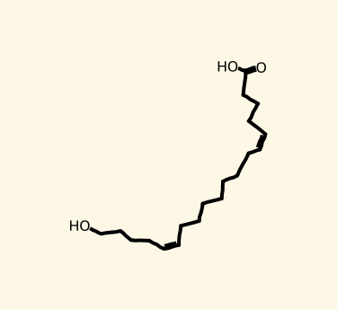 O=C(O)CCC/C=C\CCCCCCC/C=C\CCCCO